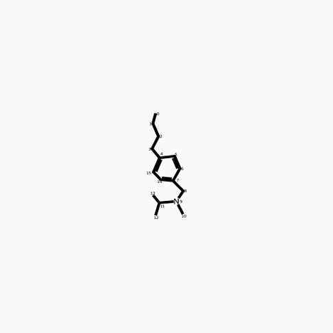 CCCCc1ccc(CN(C)C(C)C)cc1